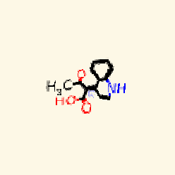 CC(=O)/C(C(=O)O)=C1/C=CNc2ccccc21